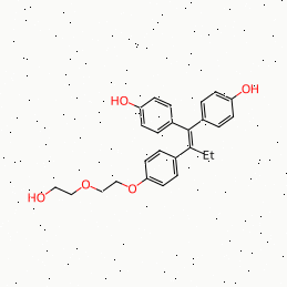 CCC(=C(c1ccc(O)cc1)c1ccc(O)cc1)c1ccc(OCCOCCO)cc1